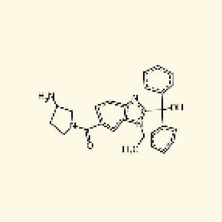 CCn1c(C(O)(c2ccccc2)c2ccccc2)nc2ccc(C(=O)N3CCC(N)C3)cc21